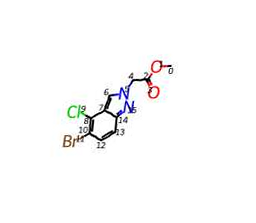 COC(=O)Cn1cc2c(Cl)c(Br)ccc2n1